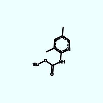 Cc1cnc(NC(=O)OC(C)(C)C)c(C)c1